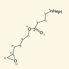 CCCCCCCCCCC(=O)OCCCCC1CO1